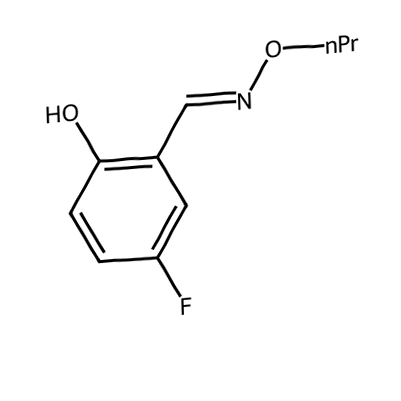 CCCON=Cc1cc(F)ccc1O